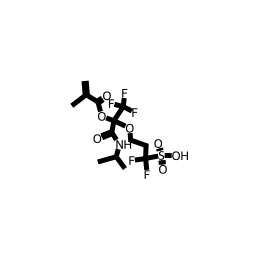 C=C(C)C(=O)OC(OCCC(F)(F)S(=O)(=O)O)(C(=O)NC(C)C)C(F)(F)F